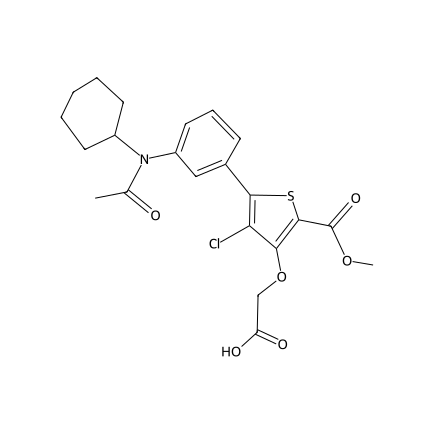 COC(=O)c1sc(-c2cccc(N(C(C)=O)C3CCCCC3)c2)c(Cl)c1OCC(=O)O